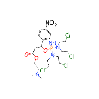 CN(C)CCOC(=O)CC(OP(=N)(N(CCCl)CCCl)N(CCCl)CCCl)c1ccc([N+](=O)[O-])cc1